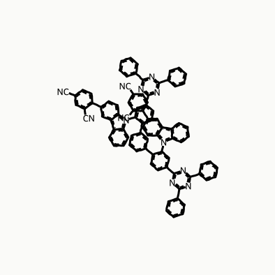 N#Cc1ccc(-c2ccc3c(c2)c2ccccc2n3-c2cc(-c3nc(-c4ccccc4)nc(-c4ccccc4)n3)ccc2-c2cccc(-c3ccc(-c4nc(-c5ccccc5)nc(-c5ccccc5)n4)cc3-n3c4ccccc4c4cc(-c5ccc(C#N)cc5C#N)ccc43)c2)c(C#N)c1